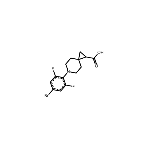 O=C(O)C1CC12CCN(c1c(F)cc(Br)cc1F)CC2